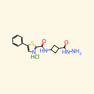 Cl.NNC(=O)C1CC(NC(=O)c2ncc(-c3ccccc3)s2)C1